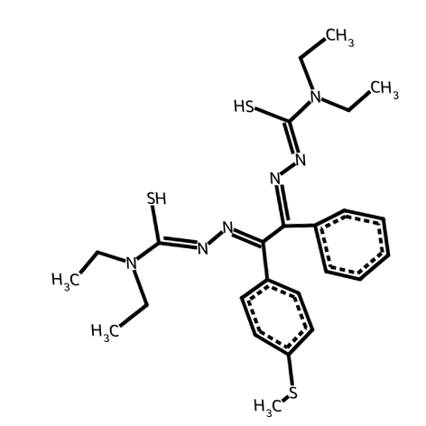 CCN(CC)/C(S)=N/N=C(/C(=N/N=C(\S)N(CC)CC)c1ccc(SC)cc1)c1ccccc1